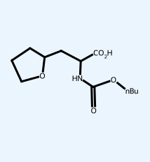 CCCCOC(=O)NC(CC1CCCO1)C(=O)O